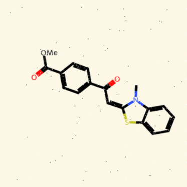 COC(=O)c1ccc(C(=O)/C=C2/Sc3ccccc3N2C)cc1